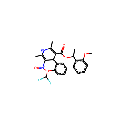 COc1ccccc1C(C)OC(=O)C1=C(C)NC(C)=C([N+](=O)[O-])C1c1ccccc1OC(F)F